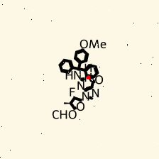 COc1ccc(C(Nc2nc3c(ncn3[C@@H]3O[C@H](C=O)[C@@H](C)[C@@H]3F)c(=O)[nH]2)(c2ccccc2)c2ccccc2)cc1